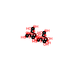 O=c1c(O)cc([C@H]2Oc3cc(O)cc(O)c3C[C@H]2O)cc2c([C@H]3Oc4cc(O)cc(O)c4C[C@H]3O)cc(O)c(O)c12.O=c1c(O)cc([C@H]2Oc3cc(O)cc(O)c3C[C@H]2O)cc2c([C@H]3Oc4cc(O)cc(O)c4C[C@H]3O)cc(O)c(O)c12